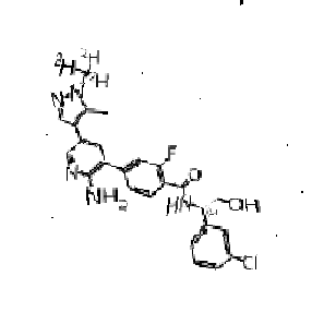 [2H]C([2H])([2H])n1ncc(-c2cnc(N)c(-c3ccc(C(=O)N[C@H](CO)c4cccc(Cl)c4)c(F)c3)c2)c1C